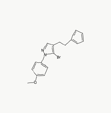 COc1ccc(-n2ncc(CCc3ccccc3)c2Br)cc1